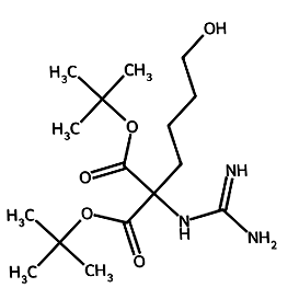 CC(C)(C)OC(=O)C(CCCCO)(NC(=N)N)C(=O)OC(C)(C)C